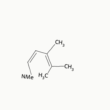 CN/C=C\C(C)=C(C)C